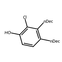 CCCCCCCCCCc1ccc(O)c(Cl)c1CCCCCCCCCC